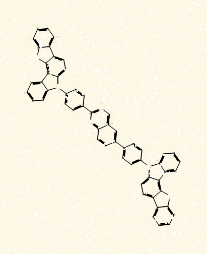 c1ccc2c(c1)sc1c2ccc2c1c1ccccc1n2-c1ccc(-c2ccc3nc(-c4ccc(-n5c6ccccc6c6c7sc8ccccc8c7ccc65)cc4)ncc3c2)cc1